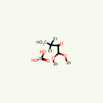 CCC(CC)(C(=O)O)C(=O)C(OC(C)C)OC(C)C.[O]=[Ti]([OH])[OH]